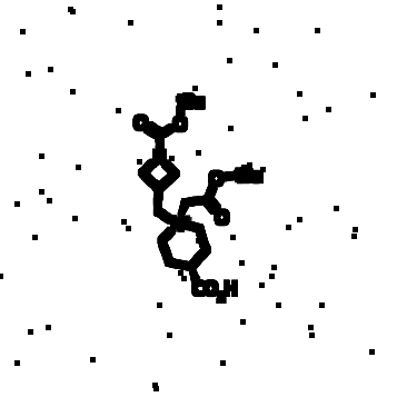 CC(C)(C)OC(=O)C[N@+]1(CC2CN(C(=O)OC(C)(C)C)C2)CC[C@H](C(=O)O)CC1